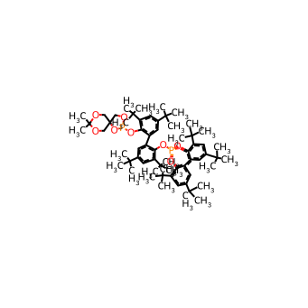 CC1(C)OCC2(COP(Oc3c(-c4cc(C(C)(C)C)cc(C(C)(C)C)c4Op4oc5c(C(C)(C)C)cc(C(C)(C)C)cc5c5cc(C(C)(C)C)cc(C(C)(C)C)c5o4)cc(C(C)(C)C)cc3C(C)(C)C)O2)CO1